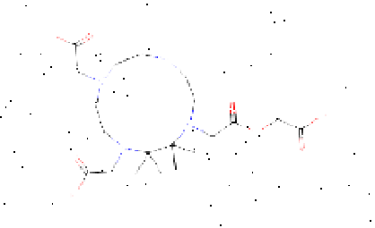 CC1(C)N(CC(=O)O)CCN(CC(=O)O)CCNCCN(CC(=O)OCC(=O)O)C1(C)C